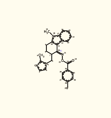 Cc1nccn1CC1CCc2c(c3ccccc3n2C)/C1=N/OC(=O)c1ccc(F)cc1